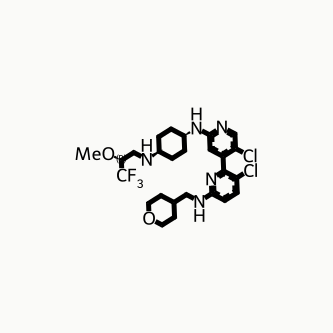 CO[C@H](CN[C@H]1CC[C@H](Nc2cc(-c3nc(NCC4CCOCC4)ccc3Cl)c(Cl)cn2)CC1)C(F)(F)F